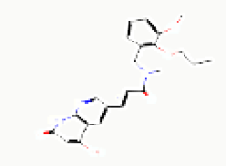 CCCOc1c(CN(C)C(=O)/C=C/c2cnc3[nH]c(=O)cc(O)c3c2)cccc1OC